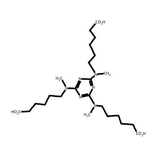 CN(CCCCCC(=O)O)c1nc(N(C)CCCCCC(=O)O)nc(N(C)CCCCCC(=O)O)n1